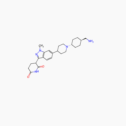 Cn1nc(C2CCC(=O)NC2=O)c2ccc(C3CCN([C@H]4CC[C@H](CN)CC4)CC3)cc21